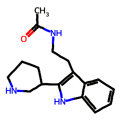 CC(=O)NCCc1c(C2CCCNC2)[nH]c2ccccc12